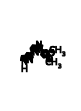 COc1ccc(-c2cnc3ccc(-c4cnc5[nH]ccc5c4)nn23)cc1OC